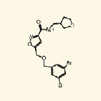 O=C(NCC1CCOC1)c1cc(COCc2cc(Br)cc(Br)c2)on1